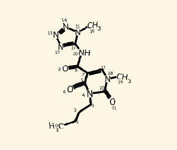 CCCCn1c(=O)c(C(=O)Nc2nnnn2C)cn(C)c1=O